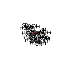 C[Si](C)(C)O[Si]1(O)O[Si](C)(O)O[Si]2(O)O[Si](O)(O1)O[Si]1(O)O[Si](O)(O)O[Si]34O[Si](O)(O)O[Si](O)(O)O[Si]5(O[Si](C)(O[Si](O)(O[Si](C)(C)C)O[Si](O)(O[Si](C)(C)C)O5)O[Si](O2)(O1)O3)O4